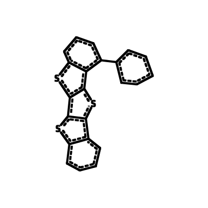 c1ccc(-c2cccc3sc4c5sc6ccccc6c5sc4c23)cc1